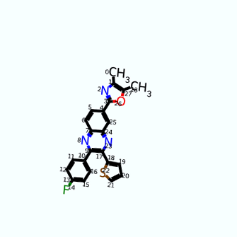 Cc1nc(-c2ccc3nc(-c4ccc(F)cc4)c(-c4cccs4)nc3c2)oc1C